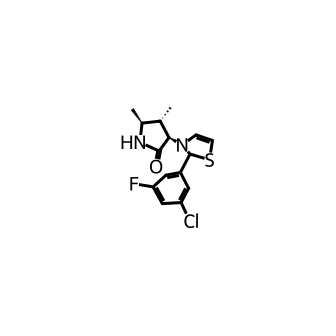 C[C@H]1[C@H](C)NC(=O)[C@@H]1N1C=CSC1c1cc(F)cc(Cl)c1